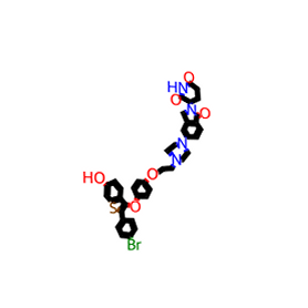 O=C1CCC(N2Cc3cc(N4CCN(CCCOc5ccc(Oc6c(-c7ccc(Br)cc7)sc7cc(O)ccc67)cc5)CC4)ccc3C2=O)C(=O)N1